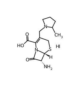 CC1CCCN1CC1=C(C(=O)O)N2C(=O)[C@@H](N)[C@H]2SC1.I